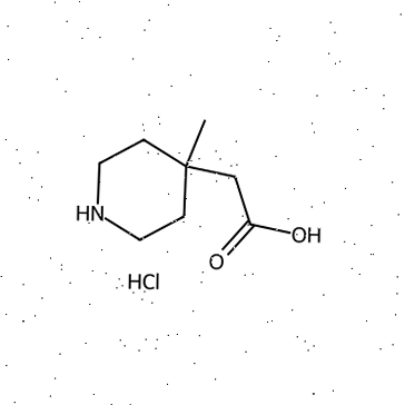 CC1(CC(=O)O)CCNCC1.Cl